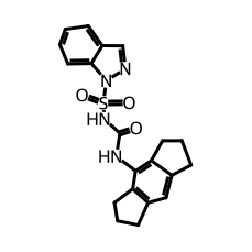 O=C(Nc1c2c(cc3c1CCC3)CCC2)NS(=O)(=O)n1ncc2ccccc21